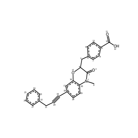 CN1C(=O)C(Cc2ccc(C(=O)O)cc2)Oc2cc(C#CCc3ccccc3)ccc21